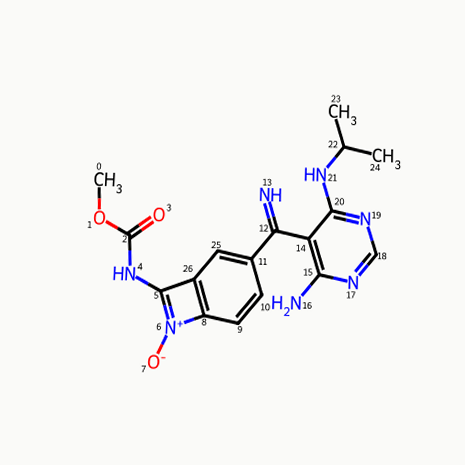 COC(=O)NC1=[N+]([O-])c2ccc(C(=N)c3c(N)ncnc3NC(C)C)cc21